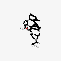 C=CC(=O)N1CCN2c3nc(=O)n4c5c(C(C)C)nccc5oc5cccc(F)c5c5c(F)c(c3c4c5Cl)OCC2C1